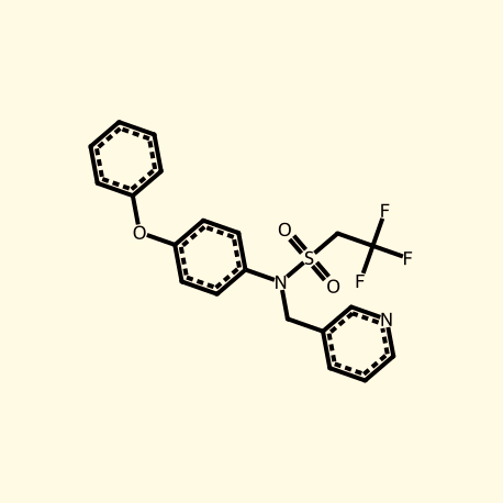 O=S(=O)(CC(F)(F)F)N(Cc1cccnc1)c1ccc(Oc2ccccc2)cc1